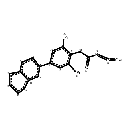 CC(C)c1cc(-c2ccc3ccccc3c2)cc(C(C)C)c1CC(=O)N=S=O